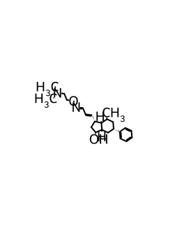 C[C@H]1C[C@H](c2ccccc2)C[C@H]2[C@H]1[C@@H](/C=C/C=N/OCCN(C)C)C[C@@H]2O